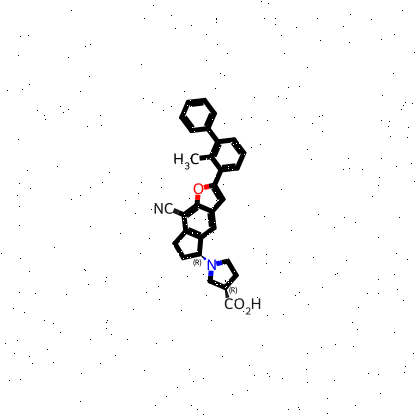 Cc1c(-c2ccccc2)cccc1-c1cc2cc3c(c(C#N)c2o1)CC[C@H]3N1CC[C@@H](C(=O)O)C1